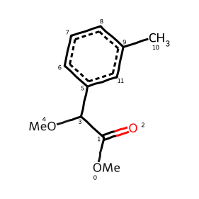 COC(=O)C(OC)c1cccc(C)c1